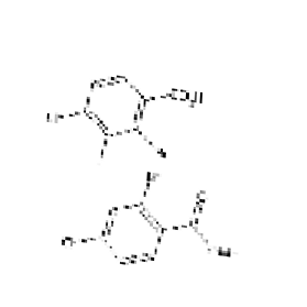 COC(=O)c1ccc(Cl)cc1Br.Cc1c(Cl)ccc(C(=O)O)c1Br